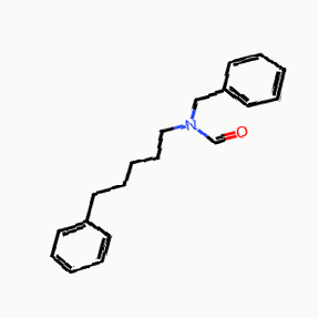 O=CN(CCCCCc1ccccc1)Cc1ccccc1